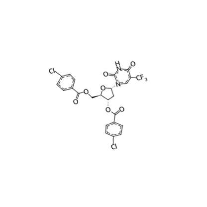 O=C(OC[C@H]1O[C@H](n2cc(C(F)(F)F)c(=O)[nH]c2=O)C[C@@H]1OC(=O)c1ccc(Cl)cc1)c1ccc(Cl)cc1